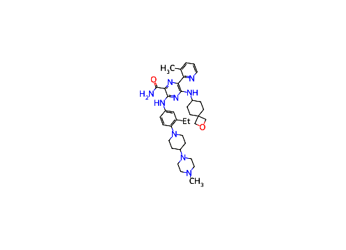 CCc1cc(Nc2nc(NC3CCC4(CC3)COC4)c(-c3ncccc3C)nc2C(N)=O)ccc1N1CCC(N2CCN(C)CC2)CC1